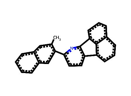 Cc1cc2ccccc2cc1-c1ccc2c(n1)-c1cccc3cccc-2c13